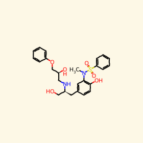 CN(c1cc(C[C@@H](CO)NC[C@H](O)COc2ccccc2)ccc1O)S(=O)(=O)c1ccccc1